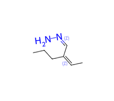 C/C=C(\C=N/N)CCC